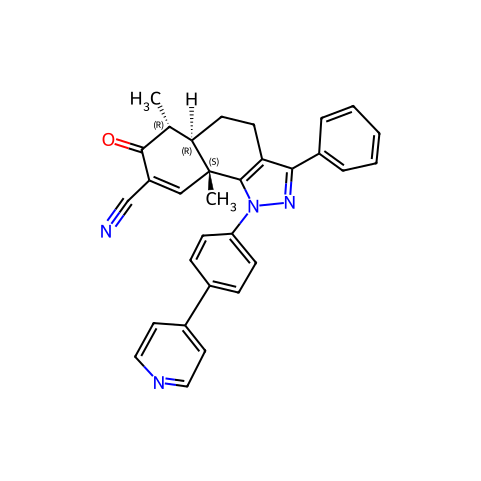 C[C@H]1C(=O)C(C#N)=C[C@@]2(C)c3c(c(-c4ccccc4)nn3-c3ccc(-c4ccncc4)cc3)CC[C@H]12